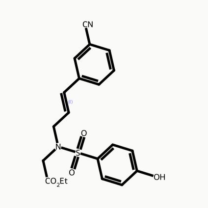 CCOC(=O)CN(C/C=C/c1cccc(C#N)c1)S(=O)(=O)c1ccc(O)cc1